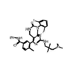 Cc1ccc(C(=O)NC(C)C)cc1-c1nc(NCC(C)(C)CN(C)C)nc2c1CNC(=O)N2c1c(F)cccc1F